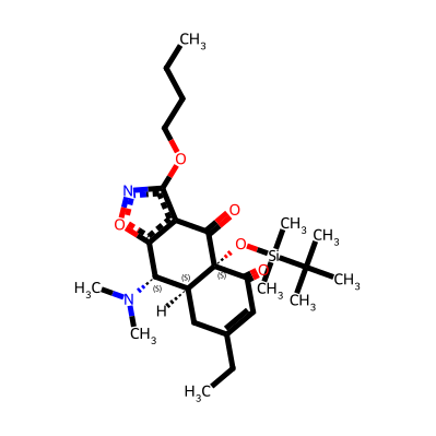 CCCCOc1noc2c1C(=O)[C@@]1(O[Si](C)(C)C(C)(C)C)C(=O)C=C(CC)C[C@H]1[C@@H]2N(C)C